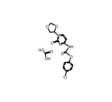 O=C(Nc1ccn(C2COCO2)c(=O)n1)Oc1ccc(Cl)cc1.O=C(O)O